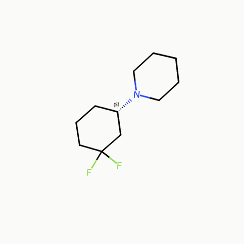 FC1(F)CCC[C@H](N2CCCCC2)C1